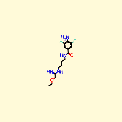 CCOCC(=N)NCCCCNC(=O)c1cc(F)c(N)c(F)c1